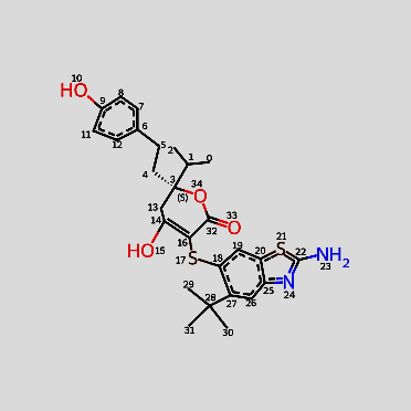 CC(C)[C@]1(CCc2ccc(O)cc2)CC(O)=C(Sc2cc3sc(N)nc3cc2C(C)(C)C)C(=O)O1